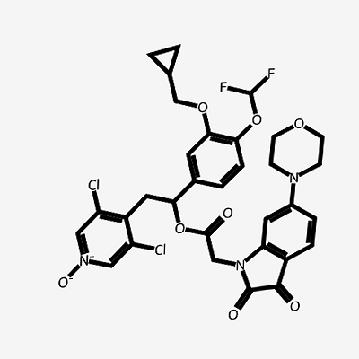 O=C(CN1C(=O)C(=O)c2ccc(N3CCOCC3)cc21)OC(Cc1c(Cl)c[n+]([O-])cc1Cl)c1ccc(OC(F)F)c(OCC2CC2)c1